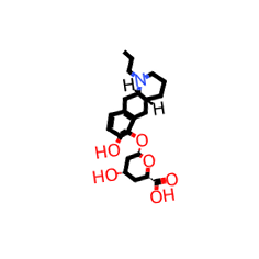 CCCN1CCC[C@@H]2Cc3c(ccc(O)c3O[C@H]3C[C@@H](O)C[C@@H](C(=O)O)O3)C[C@H]21